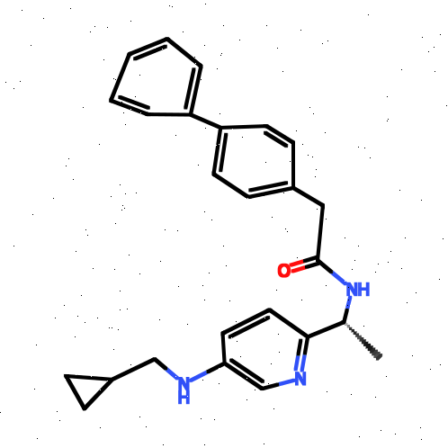 C[C@@H](NC(=O)Cc1ccc(-c2ccccc2)cc1)c1ccc(NCC2CC2)cn1